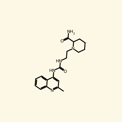 Cc1cc(NC(=O)NCCN2CC[CH]CC2C(N)=O)c2ccccc2n1